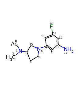 CC(=O)N(C)C1CCN(c2cc(N)cc(F)c2)C1